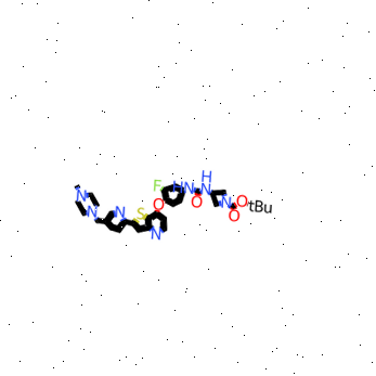 CN1CCN(Cc2ccc(-c3cc4nccc(Oc5ccc(NC(=O)NC6CN(C(=O)OC(C)(C)C)C6)cc5F)c4s3)nc2)CC1